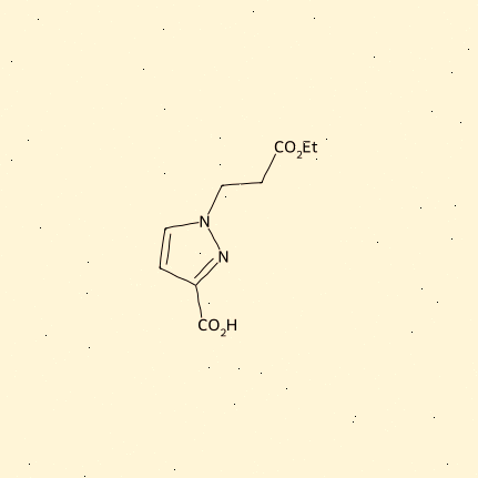 CCOC(=O)CCn1ccc(C(=O)O)n1